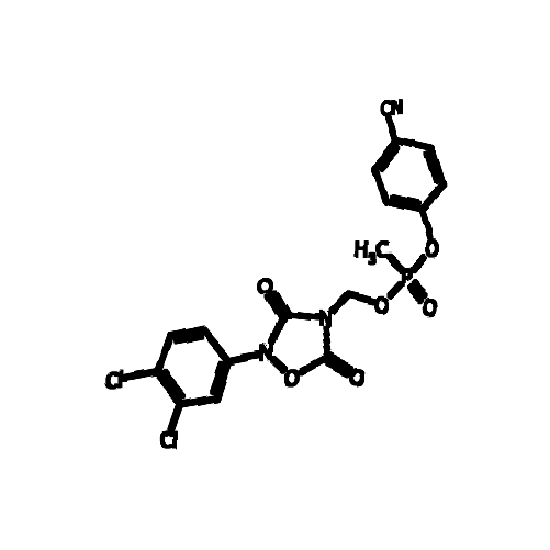 CP(=O)(OCn1c(=O)on(-c2ccc(Cl)c(Cl)c2)c1=O)Oc1ccc(C#N)cc1